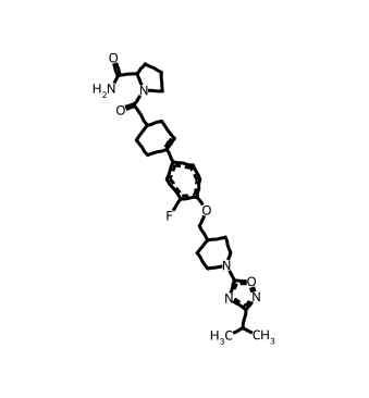 CC(C)c1noc(N2CCC(COc3ccc(C4=CCC(C(=O)N5CCCC5C(N)=O)CC4)cc3F)CC2)n1